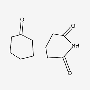 O=C1CCCC(=O)N1.O=C1CCCCC1